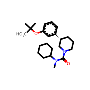 CN(C(=O)N1CCC[C@@H](c2cccc(OC(C)(C)C(=O)O)c2)C1)C1CCCCC1